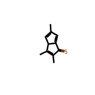 CC1=CC2C(=C1)C(=S)C(C)=C2C